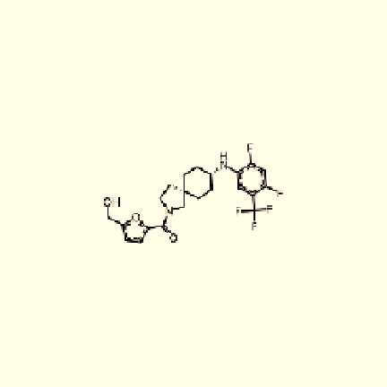 O=C(c1ccc(CO)o1)N1CC[C@]2(CC[C@@H](Nc3cc(C(F)(F)F)c(F)cc3F)CC2)C1